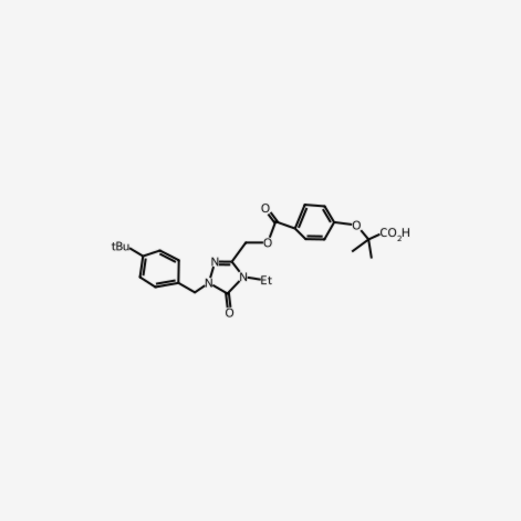 CCn1c(COC(=O)c2ccc(OC(C)(C)C(=O)O)cc2)nn(Cc2ccc(C(C)(C)C)cc2)c1=O